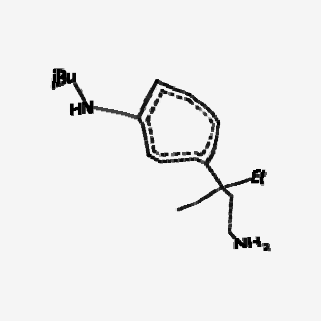 CCC(C)Nc1cccc(C(C)(N)CC)c1